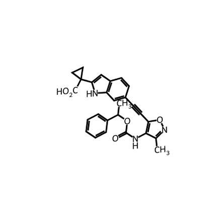 Cc1noc(C#Cc2ccc3cc(C4(C(=O)O)CC4)[nH]c3c2)c1NC(=O)OC(C)c1ccccc1